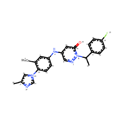 COc1cc(Nc2cnn(C(C)c3ccc(F)cc3)c(=O)c2)ccc1-n1cnc(C)c1